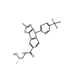 Cc1nc2c(s1)c1cc(C(=O)NC[C@H](C)O)ccc1n2-c1ccc(C(F)(F)F)cc1